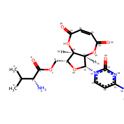 CC(C)[C@@H](N)C(=O)OC[C@H]1O[C@@H](n2ccc(NO)nc2=O)[C@@H]2OC(=O)/C=C\C(=O)O[C@@H]21